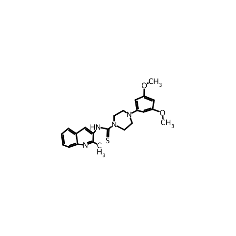 COc1cc(OC)cc(N2CCN(C(=S)Nc3cc4ccccc4nc3C)CC2)c1